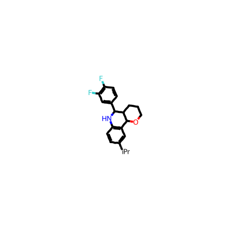 CC(C)c1ccc2c(c1)C1OCCCC1C(c1ccc(F)c(F)c1)N2